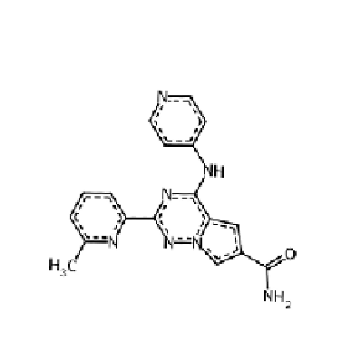 Cc1cccc(-c2nc(Nc3ccncc3)c3cc(C(N)=O)cn3n2)n1